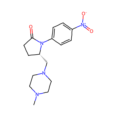 CN1CCN(C[C@@H]2CCC(=O)N2c2ccc([N+](=O)[O-])cc2)CC1